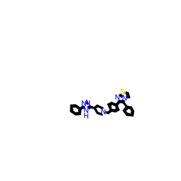 c1ccc(-c2nnc(C3CCN(Cc4ccc(-c5nc6sccn6c5-c5ccccc5)cc4)CC3)[nH]2)cc1